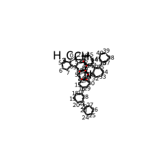 CC1(C)c2ccccc2-c2cc(N(c3ccc(-c4cccc(-c5ccccc5)c4)cc3)c3cccc(-c4ccccc4)c3-c3ccccc3-c3ccccc3)ccc21